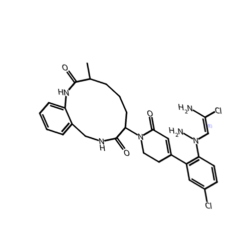 CC1CCCC(N2CCC(c3cc(Cl)ccc3N(N)/C=C(\N)Cl)=CC2=O)C(=O)NCc2ccccc2NC1=O